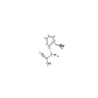 O=C(O)C(F)c1ccccc1Br